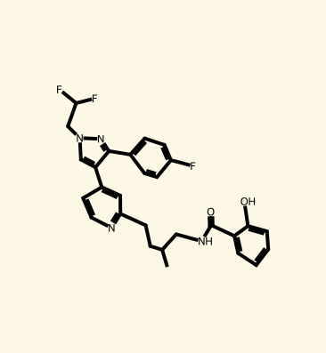 CC(CCc1cc(-c2cn(CC(F)F)nc2-c2ccc(F)cc2)ccn1)CNC(=O)c1ccccc1O